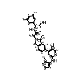 Cc1cc(F)cc([C@@H](CO)NC(=O)[C@@H](C)N2Cc3ccc(-c4nc(Nc5ccnn5C)ncc4Cl)cc3C2=O)c1